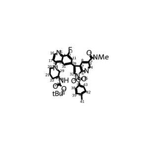 CNC(=O)c1cnc2c(c1)c(-c1cc(F)c3nccc(N4CCC[C@@H](NC(=O)OC(C)(C)C)C4)c3c1)cn2S(=O)(=O)c1ccc(C)cc1